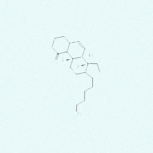 CC(C)CCC[C@@H](C)[C@H]1CC[C@H]2[C@@H]3C=CC4CCCC(=O)[C@]4(C)[C@H]3CC[C@]12C